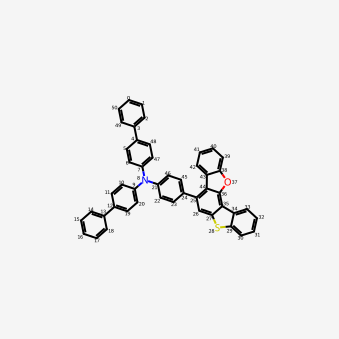 c1ccc(-c2ccc(N(c3ccc(-c4ccccc4)cc3)c3ccc(-c4cc5sc6ccccc6c5c5oc6ccccc6c45)cc3)cc2)cc1